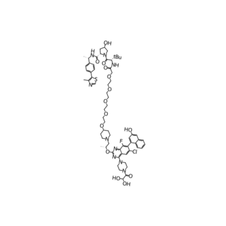 Cc1ncsc1-c1ccc([C@H](C)NC(=O)[C@@H]2C[C@@H](O)CN2C(=O)[C@@H](NC(=O)COCCOCCOCCOCCOC2CCN(C[C@@H](C)Oc3nc(N4CCN(C(=O)C(O)O)CC4)c4cc(Cl)c(-c5cc(O)cc6ccccc56)c(F)c4n3)CC2)C(C)(C)C)cc1